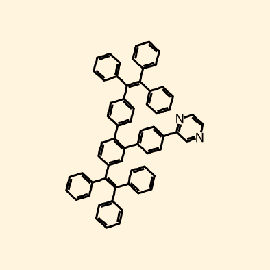 c1ccc(C(=C(c2ccccc2)c2ccc(-c3ccc(C(=C(c4ccccc4)c4ccccc4)c4ccccc4)cc3-c3ccc(-c4cnccn4)cc3)cc2)c2ccccc2)cc1